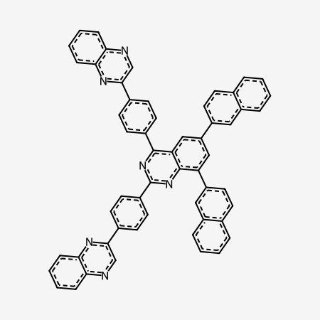 c1ccc2cc(-c3cc(-c4ccc5ccccc5c4)c4nc(-c5ccc(-c6cnc7ccccc7n6)cc5)nc(-c5ccc(-c6cnc7ccccc7n6)cc5)c4c3)ccc2c1